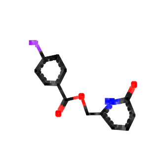 O=C(OCc1cccc(=O)[nH]1)c1ccc([123I])cc1